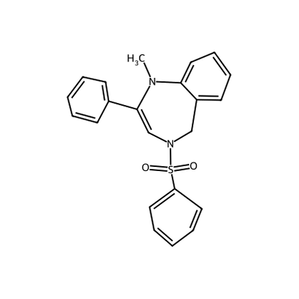 CN1C(c2ccccc2)=CN(S(=O)(=O)c2ccccc2)Cc2ccccc21